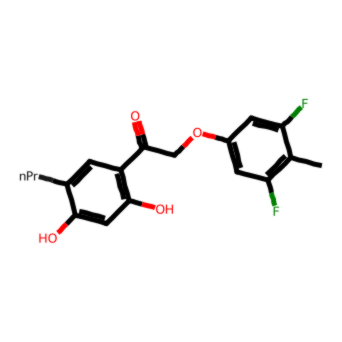 CCCc1cc(C(=O)COc2cc(F)c(C)c(F)c2)c(O)cc1O